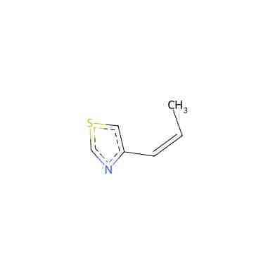 C/C=C\c1cscn1